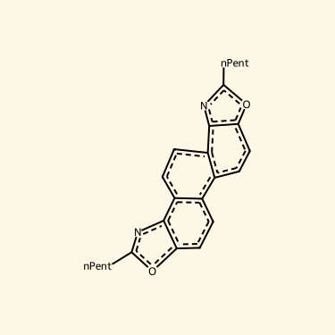 CCCCCc1nc2c(ccc3c4ccc5oc(CCCCC)nc5c4ccc32)o1